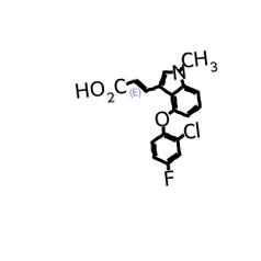 Cn1cc(/C=C/C(=O)O)c2c(Oc3ccc(F)cc3Cl)cccc21